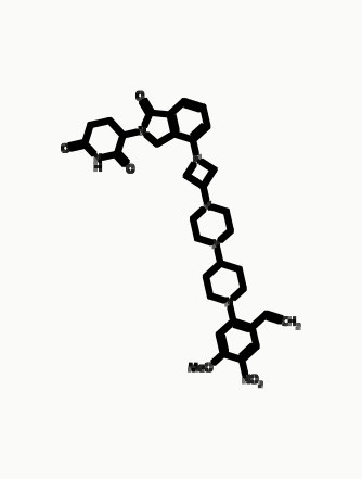 C=Cc1cc([N+](=O)[O-])c(OC)cc1N1CCC(N2CCN(C3CN(c4cccc5c4CN(C4CCC(=O)NC4=O)C5=O)C3)CC2)CC1